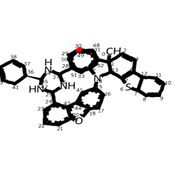 CC12C=CC3=C(SC4C=CC=CC34)C1N(c1ccc3oc4cccc(C5NC(c6ccccc6)NC([C@@H]6C=CC=CC6)N5)c4c3c1)C1=C2C=CCC1